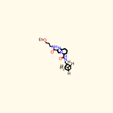 CCOCCCNC(=O)c1cn2c(C(=O)NC[C@@H]3CC[C@H]4C[C@@H]3C4(C)C)cccc2n1